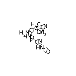 Cc1cncc(Cl)c1[C@@H](C)Oc1ccc(N)c(C(=N)/C=C(\F)c2ccc(CNC3CCOCC3)nc2)c1